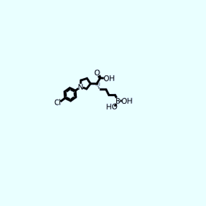 O=C(O)[C@H](CCCCB(O)O)C1CCN(c2ccc(Cl)cc2)C1